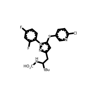 CC(C)(C)C(Cc1cc(Sc2ccc(Cl)nc2)n(-c2ccc(F)cc2F)n1)NC(=O)O